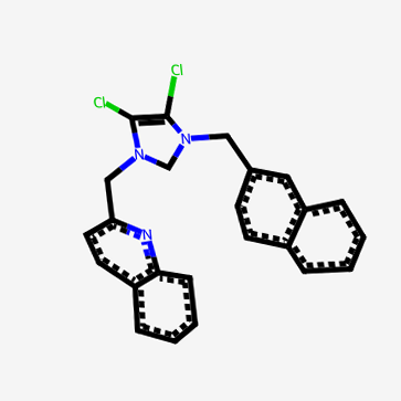 ClC1=C(Cl)N(Cc2ccc3ccccc3n2)CN1Cc1ccc2ccccc2c1